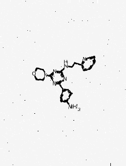 Nc1ccc(-c2nc(NCCc3ccccn3)nc(N3CCOCC3)n2)cc1